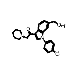 O=C(CN1CCCCC1)c1cn(-c2ccc(Cl)cc2)c2cc(CO)ccc12